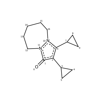 O=c1c(C2CC2)c(C2CC2)n2n1CCCCC2